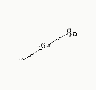 CCCCCCCCCCCCCCC(CC(=O)NCCCCCCCCCCCCOCc1ccccc1C(=O)c1ccccc1)C(=O)O